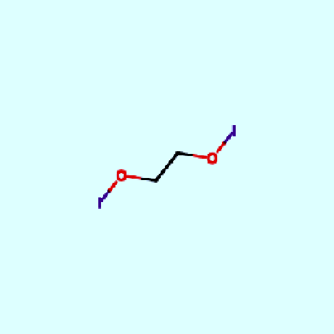 IOCCOI